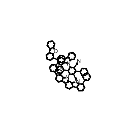 N#Cc1c(-c2ccccc2)c(C#N)c(-n2c3c(ccc4c5cccc(-c6ccccc6)c5sc43)c3ccc4c5cccc(-c6ccccc6)c5sc4c32)c(-c2ccccc2)c1-n1c2ccccc2c2cc(-c3cccc4c3oc3ccccc34)ccc21